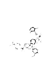 CCc1cc(S(=O)(=O)C2(c3ccc(C(OCc4c(F)cccc4F)(C(F)(F)F)C(F)(F)F)cc3)CCN(C(=O)N3CCN(C(C)=O)CC3)C2)ccc1F